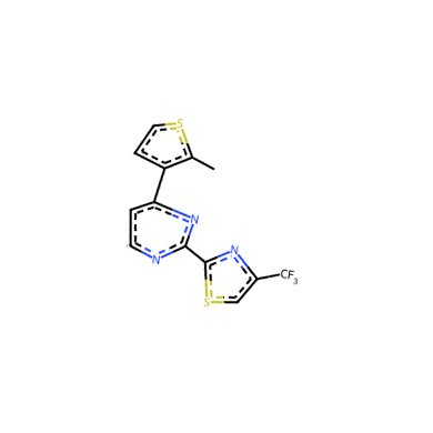 Cc1sccc1-c1c[c]nc(-c2nc(C(F)(F)F)cs2)n1